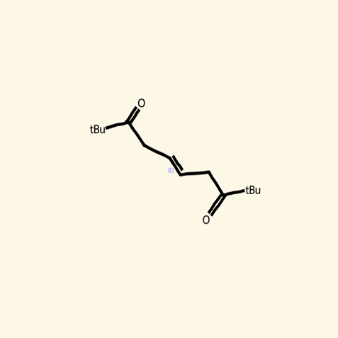 CC(C)(C)C(=O)C/C=C/CC(=O)C(C)(C)C